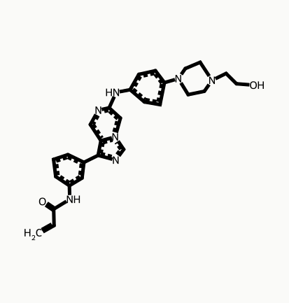 C=CC(=O)Nc1cccc(-c2ncn3cc(Nc4ccc(N5CCN(CCO)CC5)cc4)ncc23)c1